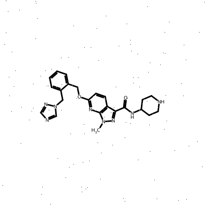 Cn1nc(C(=O)NC2CCNCC2)c2ccc(OCc3ccccc3Cn3cncn3)nc21